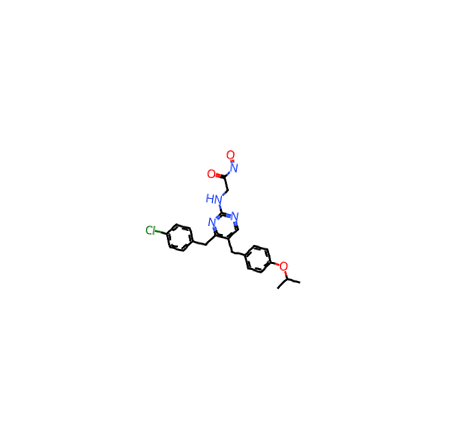 CC(C)Oc1ccc(Cc2cnc(NCC(=O)N=O)nc2Cc2ccc(Cl)cc2)cc1